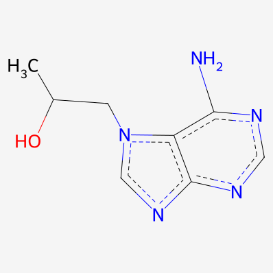 CC(O)Cn1cnc2ncnc(N)c21